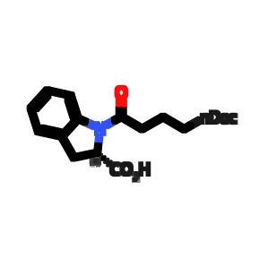 CCCCCCCCCCCCCC(=O)N1c2ccccc2C[C@H]1C(=O)O